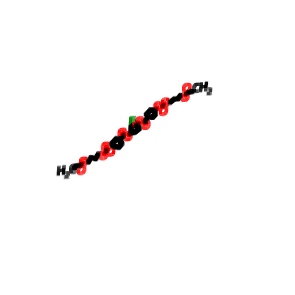 C=CC(=O)OCCCCOC(=O)Oc1ccc(C(=O)Oc2ccc(OC(=O)c3ccc(OC(=O)OCCCCOC(=O)C=C)cc3)c(F)c2)cc1